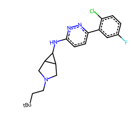 CC(C)(C)CCN1CC2C(C1)C2Nc1ccc(-c2cc(F)ccc2Cl)nn1